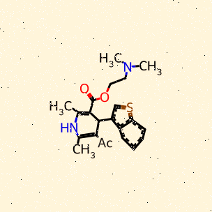 CC(=O)C1=C(C)NC(C)=C(C(=O)OCCN(C)C)C1c1csc2ccccc12